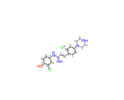 N=C(/C=C/c1ccc(N2CCNCC2)cc1Cl)Nc1ccc(O)c(Cl)c1